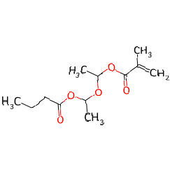 C=C(C)C(=O)OC(C)OC(C)OC(=O)CCC